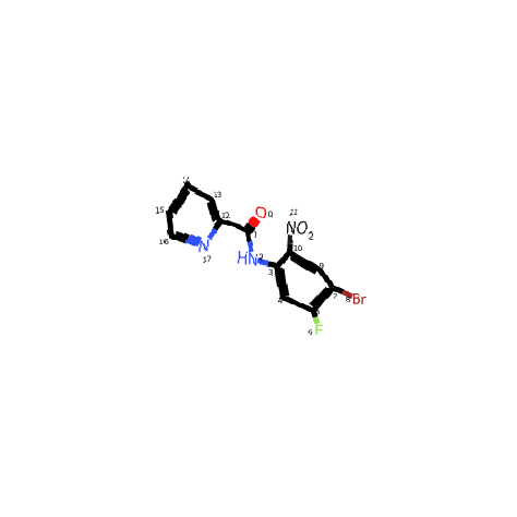 O=C(Nc1cc(F)c(Br)cc1[N+](=O)[O-])c1ccccn1